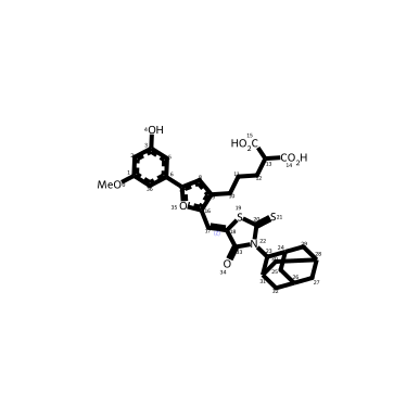 COc1cc(O)cc(-c2cc(CCCC(C(=O)O)C(=O)O)c(/C=C3\SC(=S)N(C4C5CC6CC(C5)CC4C6)C3=O)o2)c1